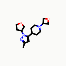 Cc1cc(C2CCN(C3COC3)CC2)n(C2CCOC2)n1